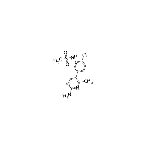 Cc1nc(N)ncc1-c1ccc(Cl)c(NS(C)(=O)=O)c1